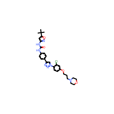 CC(C)(C)c1cc(NC(=O)Nc2ccc(-c3cn(-c4ccc(OCCCN5CCOCC5)cc4Cl)nn3)cc2)no1